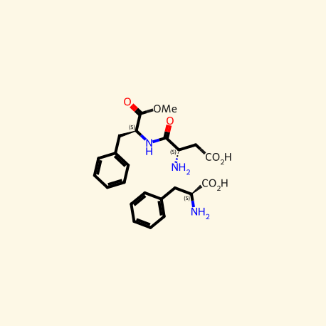 COC(=O)[C@H](Cc1ccccc1)NC(=O)[C@@H](N)CC(=O)O.N[C@@H](Cc1ccccc1)C(=O)O